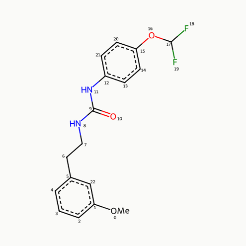 COc1cccc(CCNC(=O)Nc2ccc(OC(F)F)cc2)c1